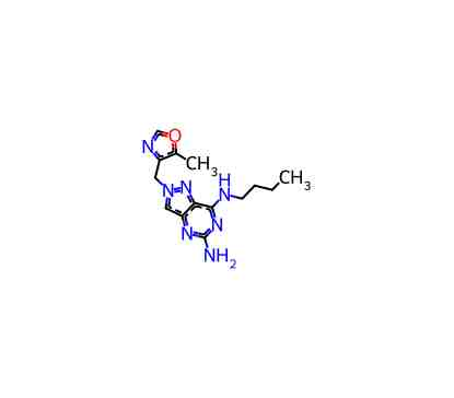 CCCCNc1nc(N)nc2cn(Cc3ncoc3C)nc12